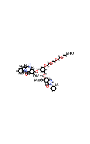 CCC1CCCC[C@@H]1N1C=N[C@H]2CC(OCC3=C[C@@H](OCCOCCOCCOCCC=O)C[C@@H](COC4=C(OC)C[C@@H]5C(=O)N6[C@H](CN[C@@H]5C4)C[C@H]4CCCC[C@H]46)C3)=C(OC)C[C@H]2C1=O